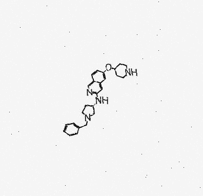 c1ccc(CN2CC[C@H](Nc3cc4cc(OC5CCNCC5)ccc4cn3)C2)cc1